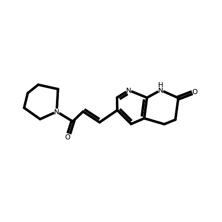 O=C1CCc2cc(C=CC(=O)N3CCCCC3)cnc2N1